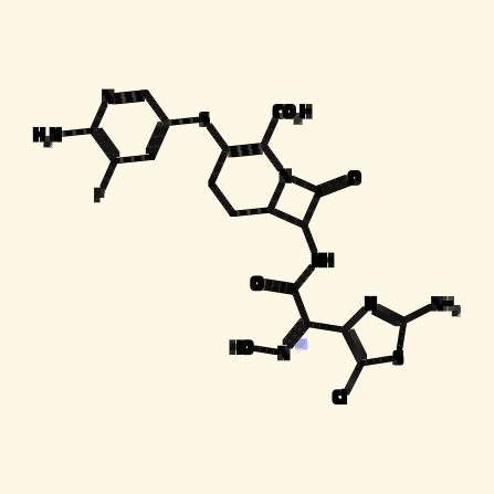 Nc1nc(/C(=N/O)C(=O)NC2C(=O)N3C(C(=O)O)=C(Sc4cnc(N)c(F)c4)CCC23)c(Cl)s1